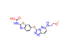 COCCNc1ccc2nnc(Sc3ccc4nc(NC(=O)O)sc4c3)n2n1